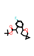 CC(C(=O)OC(C)(C)C)c1cc(F)ccc1C1CCC2(CC2)CO1